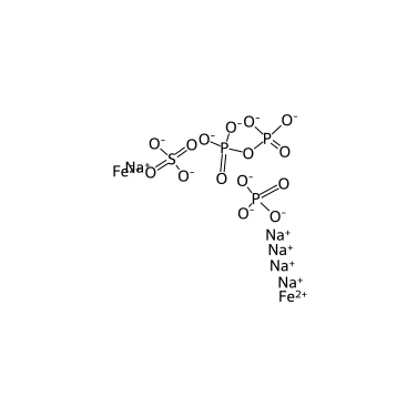 O=P([O-])([O-])OP(=O)([O-])[O-].O=P([O-])([O-])[O-].O=S(=O)([O-])[O-].[Fe+2].[Fe+2].[Na+].[Na+].[Na+].[Na+].[Na+]